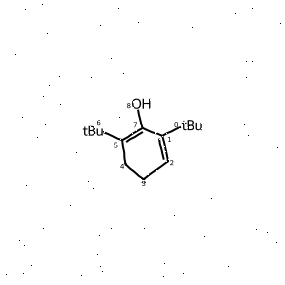 CC(C)(C)C1=C[C]CC(C(C)(C)C)=C1O